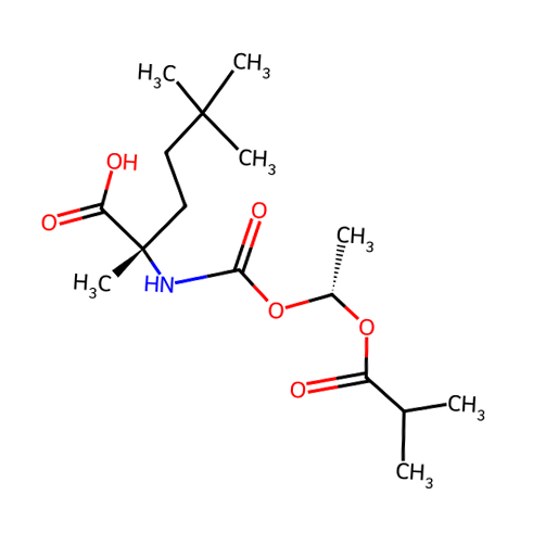 CC(C)C(=O)O[C@@H](C)OC(=O)N[C@@](C)(CCC(C)(C)C)C(=O)O